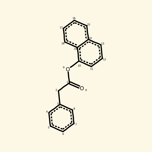 O=C(Cc1ccccc1)Oc1cccc2ccccc12